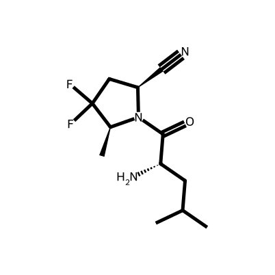 CC(C)C[C@H](N)C(=O)N1[C@H](C#N)CC(F)(F)[C@@H]1C